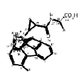 Cc1ccc2[nH]c3c(Br)c2c1-c1cccc-3c1-c1nnnn1C1CC1C(=O)N[C@@H](C)C(=O)O